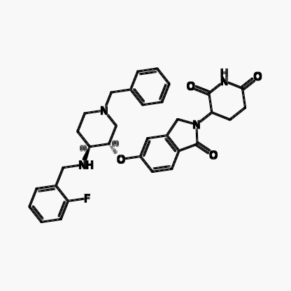 O=C1CCC(N2Cc3cc(O[C@H]4CN(Cc5ccccc5)CC[C@@H]4NCc4ccccc4F)ccc3C2=O)C(=O)N1